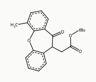 Cc1cccc2c1Oc1ccccc1C(CC(=O)OC(C)(C)C)C2=O